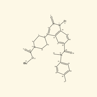 CCn1c(=O)cc(C2CCN(C(=O)OC(C)(C)C)CC2)c2cc(C(=O)N(C)c3ccc(C)cc3)ccc21